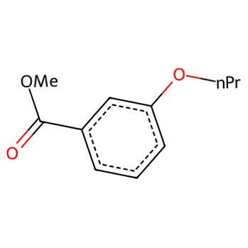 CCCOc1cccc(C(=O)OC)c1